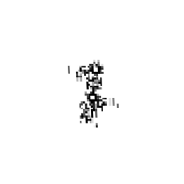 CCNC(=O)Nc1ccc(-c2cncc(NC(C)c3cccnc3)n2)cc1OC